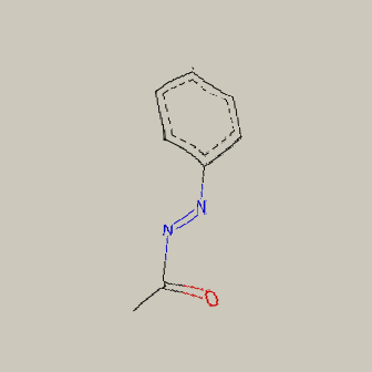 CC(=O)N=Nc1cc[c]cc1